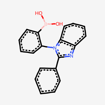 OB(O)c1ccccc1-n1c(-c2ccccc2)nc2ccccc21